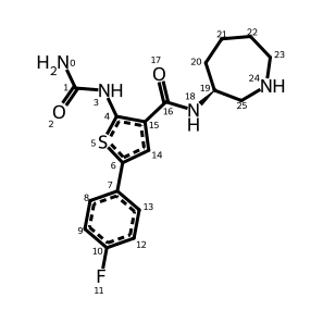 NC(=O)Nc1sc(-c2ccc(F)cc2)cc1C(=O)N[C@H]1CCCCNC1